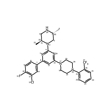 C[C@@H]1CN(c2nc(-c3ccc(F)c(Cl)c3)cc(N3CCN(c4ncccc4C(F)(F)F)CC3)n2)[C@@H](C)CN1